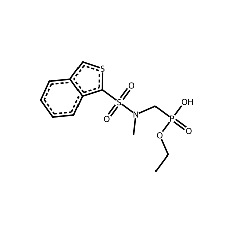 CCOP(=O)(O)CN(C)S(=O)(=O)c1scc2ccccc12